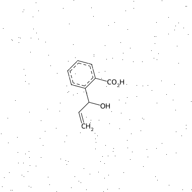 C=CC(O)c1ccccc1C(=O)O